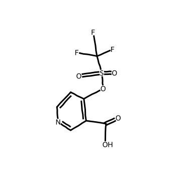 O=C(O)c1cnccc1OS(=O)(=O)C(F)(F)F